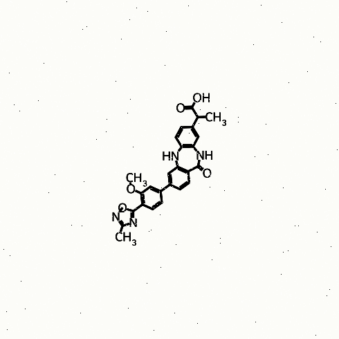 COc1cc(-c2ccc3c(c2)Nc2ccc(C(C)C(=O)O)cc2NC3=O)ccc1-c1nc(C)no1